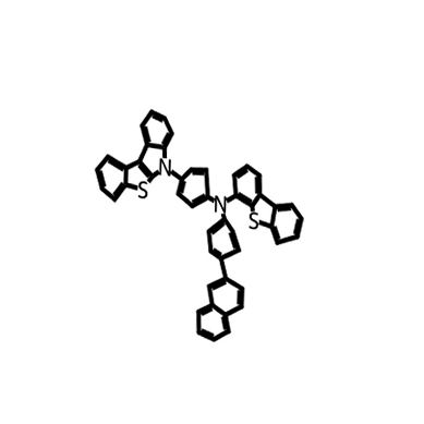 c1ccc2cc(-c3ccc(N(c4ccc(-n5c6ccccc6c6c7ccccc7sc65)cc4)c4cccc5c4sc4ccccc45)cc3)ccc2c1